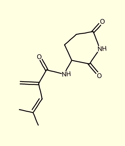 C=C(C=C(C)C)C(=O)NC1CCC(=O)NC1=O